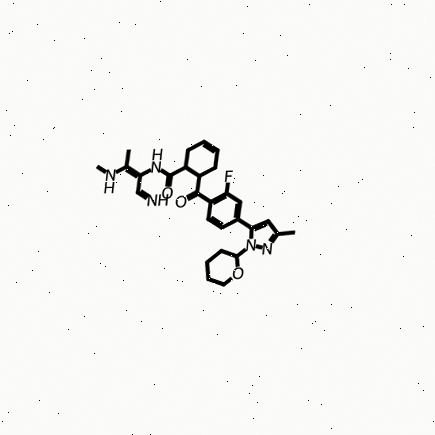 CN/C(C)=C(\C=N)NC(=O)C1CC=CCC1C(=O)c1ccc(-c2cc(C)nn2C2CCCCO2)cc1F